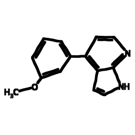 COc1cccc(-c2ccnc3[nH]ccc23)c1